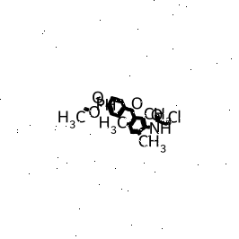 CCO[PH](=O)c1ccc(C(=O)c2c(C)cc(C)c(NC(=O)CCl)c2C)cc1